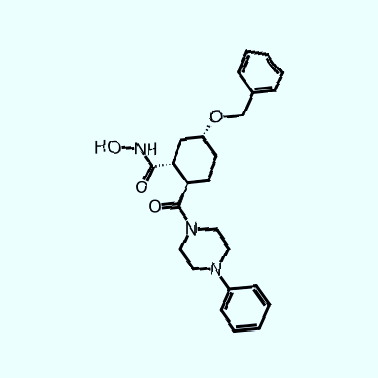 O=C(NO)[C@@H]1C[C@H](OCc2ccccc2)CC[C@H]1C(=O)N1CCN(c2ccccc2)CC1